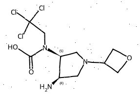 N[C@@H]1CN(C2COC2)C[C@@H]1N(CC(Cl)(Cl)Cl)C(=O)O